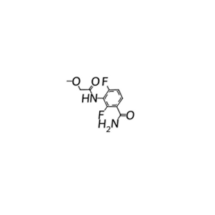 COCC(=O)Nc1c(F)ccc(C(N)=O)c1F